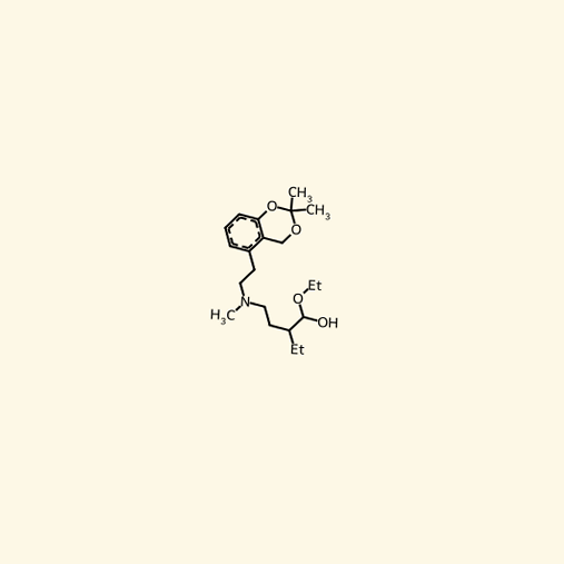 CCOC(O)C(CC)CCN(C)CCc1cccc2c1COC(C)(C)O2